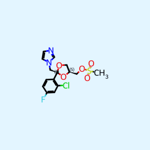 CS(=O)(=O)OC[C@@H]1CO[C@@](Cn2ccnc2)(c2ccc(F)cc2Cl)O1